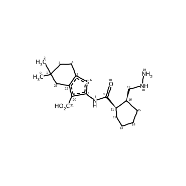 CC1(C)CCc2sc(NC(=O)[C@@H]3CCCC[C@@H]3CNN)c(C(=O)O)c2C1